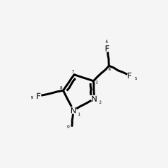 Cn1nc(C(F)F)cc1F